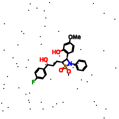 COc1ccc([C@@H]2[C@H](CC[C@@H](O)c3ccc(F)cc3)S(=O)(=O)N2c2ccccc2)c(O)c1